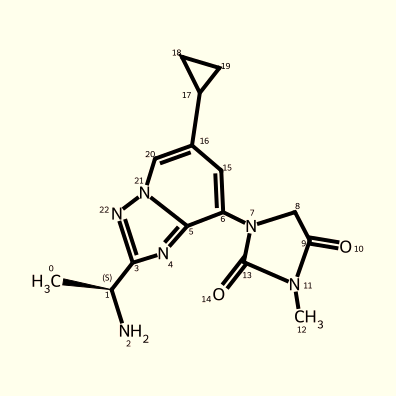 C[C@H](N)c1nc2c(N3CC(=O)N(C)C3=O)cc(C3CC3)cn2n1